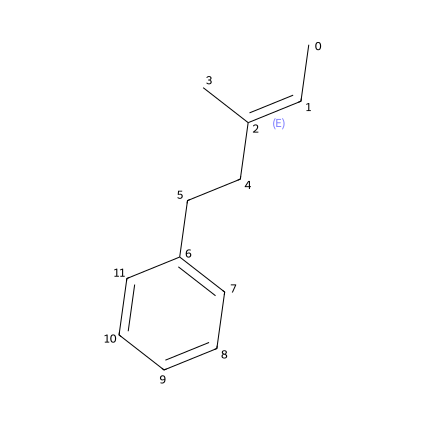 C/C=C(\C)CCc1ccccc1